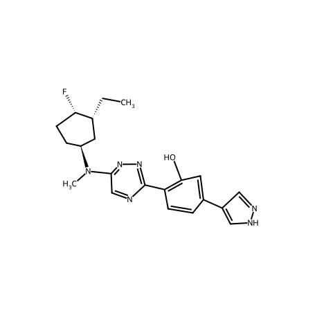 CC[C@@H]1C[C@@H](N(C)c2cnc(-c3ccc(-c4cn[nH]c4)cc3O)nn2)CC[C@@H]1F